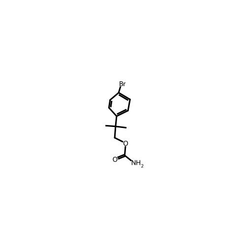 CC(C)(COC(N)=O)c1ccc(Br)cc1